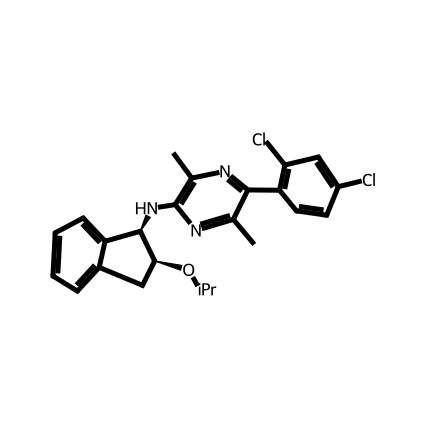 Cc1nc(-c2ccc(Cl)cc2Cl)c(C)nc1N[C@@H]1c2ccccc2C[C@@H]1OC(C)C